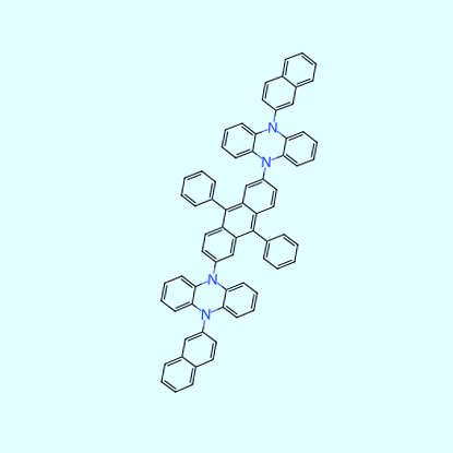 c1ccc(-c2c3ccc(N4c5ccccc5N(c5ccc6ccccc6c5)c5ccccc54)cc3c(-c3ccccc3)c3ccc(N4c5ccccc5N(c5ccc6ccccc6c5)c5ccccc54)cc23)cc1